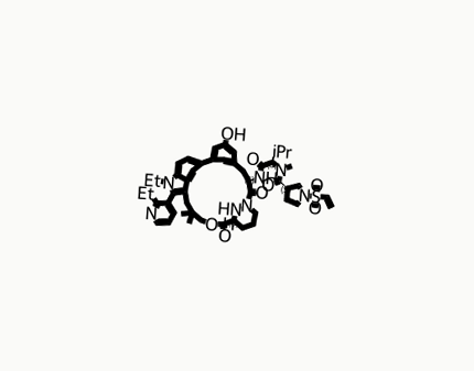 C=CS(=O)(=O)N1CC[C@H](C(=O)N(C)[C@H](C(=O)N[C@H]2Cc3cc(O)cc(c3)-c3ccc4c(c3)c(c(-c3cccnc3CC)n4CC)CC(C)(C)COC(=O)[C@@H]3CCCN(N3)C2=O)C(C)C)C1